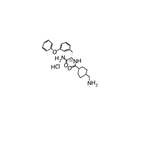 Cl.NCC1CCC(C(=O)N[C@@H](Cc2cccc(Oc3ccccc3)c2)C(N)=O)CC1